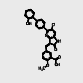 COc1ccc(C=C2C(=O)Nc3cc(Cl)c(-c4ccc(-c5ccccc5O)cc4)nc32)cc1C(=O)O